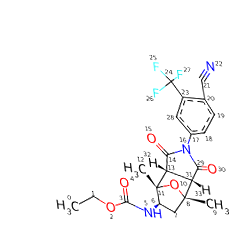 CCOC(=O)N[C@@H]1C[C@]2(C)O[C@@]1(C)[C@@H]1C(=O)N(c3ccc(C#N)c(C(F)(F)F)c3)C(=O)[C@@H]12